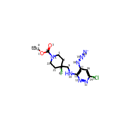 CC(C)(C)OC(=O)N1CCC(F)(CNc2nnc(Cl)cc2N=[N+]=[N-])CC1